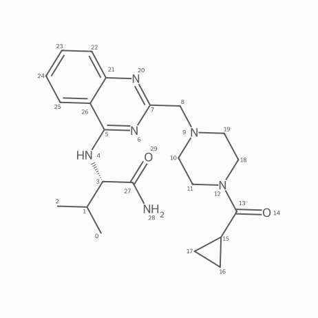 CC(C)[C@H](Nc1nc(CN2CCN(C(=O)C3CC3)CC2)nc2ccccc12)C(N)=O